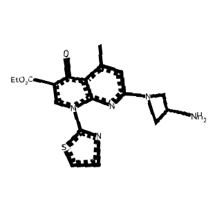 CCOC(=O)c1cn(-c2nccs2)c2nc(N3CC(N)C3)cc(C)c2c1=O